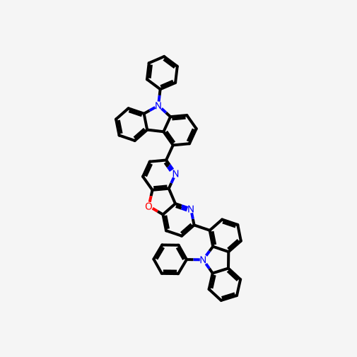 c1ccc(-n2c3ccccc3c3c(-c4ccc5oc6ccc(-c7cccc8c9ccccc9n(-c9ccccc9)c78)nc6c5n4)cccc32)cc1